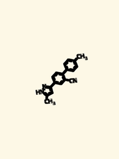 Cc1ccc(-c2ccc(-c3cc(C)[nH]n3)cc2C#N)cc1